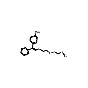 CCOCCOCCOC=C(c1ccccc1)c1ccc(OC)cc1